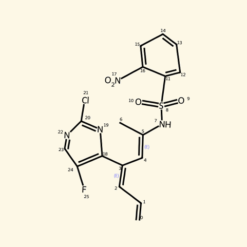 C=C/C=C(\C=C(/C)NS(=O)(=O)c1ccccc1[N+](=O)[O-])c1nc(Cl)ncc1F